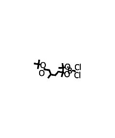 CC(CCC1(C)OB(C(Cl)Cl)OC1(C)C)CC(=O)OC(C)(C)C